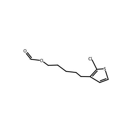 O=[C]OCCCCCc1ccsc1Cl